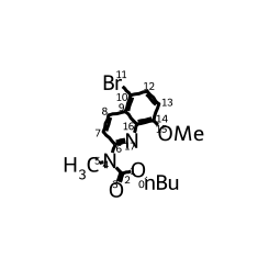 CCCCOC(=O)N(C)c1ccc2c(Br)ccc(OC)c2n1